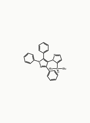 CC(C)(C)P(=O)(c1ccnn1-c1c(-c2ccccc2)nn(-c2ccccc2)c1-c1ccccc1)C(C)(C)C